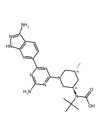 C[C@@H]1C[C@@H](N(C(=O)O)C(C)(C)C)CN(c2cc(-c3ccc4c(N)n[nH]c4c3)nc(N)n2)C1